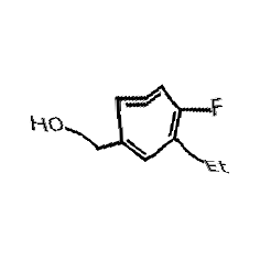 CCc1cc(CO)ccc1F